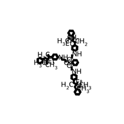 C=C(c1ccc(NCCO[Si](OCCNc2ccc(C(=C)C(CC)(Cc3ccccc3)N(C)C)cc2)(OCCNc2ccc(C(=C)C(CC)(Cc3ccccc3)N(C)C)cc2)c2ccccc2)cc1)C(CC)(Cc1ccccc1)N(C)C